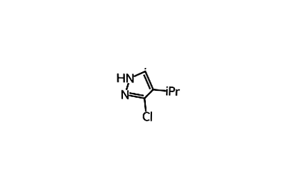 CC(C)c1[c][nH]nc1Cl